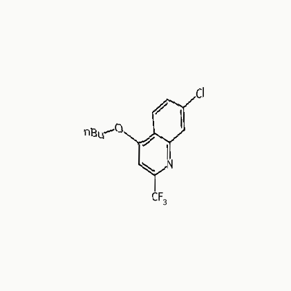 CCCCOc1cc(C(F)(F)F)nc2cc(Cl)ccc12